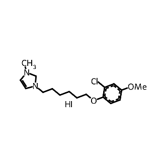 COc1ccc(OCCCCCCN2C=CN(C)C2)c(Cl)c1.I